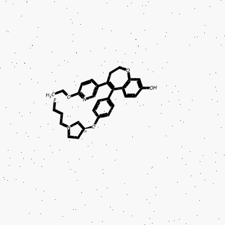 CCOc1ccc(C2=C(c3ccc(O[C@H]4CCN(CCCF)C4)cc3)c3ccc(O)cc3OCC2)cn1